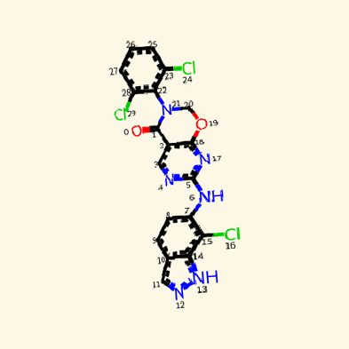 O=C1c2cnc(Nc3ccc4cn[nH]c4c3Cl)nc2OCN1c1c(Cl)cccc1Cl